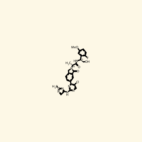 COc1ccc(F)c([C@@H](CO)NC(=O)[C@@H](C)N2Cc3ccc(-c4nc(Nc5cnn(C)n5)ncc4Cl)cc3C2=O)c1